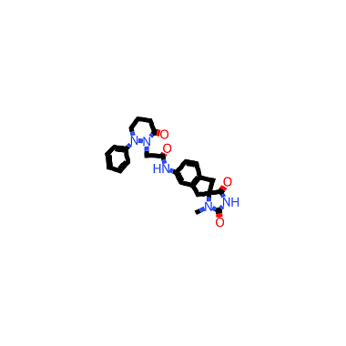 CN1C(=O)NC(=O)C12Cc1ccc(NC(=O)CN3C(=O)CCCN3c3ccccc3)cc1C2